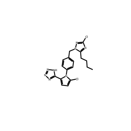 CCCCc1nc(Cl)nn1Cc1ccc(-n2c(Cl)ccc2-c2nnn[nH]2)cc1